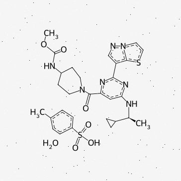 COC(=O)NC1CCN(C(=O)c2cc(N[C@@H](C)C3CC3)nc(-c3cnn4ccsc34)n2)CC1.Cc1ccc(S(=O)(=O)O)cc1.O